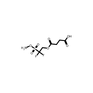 NOS(=O)(=O)C(F)(F)COC(=O)CCC(=O)O